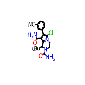 CC(C)(C)C1c2c(C(N)=O)c(-c3cccc(C#N)c3)c(Cl)n2CCN1C(N)=O